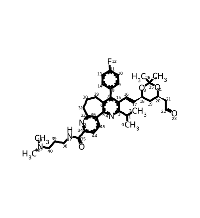 CC(C)c1nc2c(c(-c3ccc(F)cc3)c1/C=C/[C@@H]1C[C@H](CC=O)OC(C)(C)O1)CCCc1nc(C(=O)NCCCN(C)C)ccc1-2